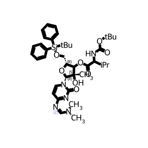 CC(C)C(NC(=O)OC(C)(C)C)C(=O)OC1[C@@H](CO[Si](c2ccccc2)(c2ccccc2)C(C)(C)C)O[C@@H](n2ccc(/N=C\N(C)C)nc2=O)[C@@]1(C)O